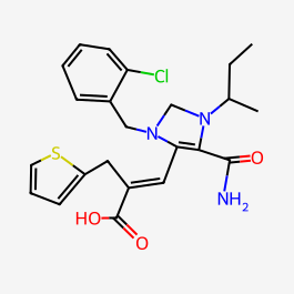 CCC(C)N1CN(Cc2ccccc2Cl)C(C=C(Cc2cccs2)C(=O)O)=C1C(N)=O